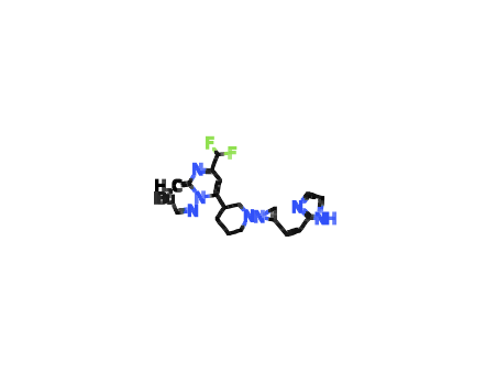 C=C1N=C(C(F)F)C=C(C2CCCN(N3C=C3/C=C\c3ncc[nH]3)C2)N1/N=C\C(C)CC